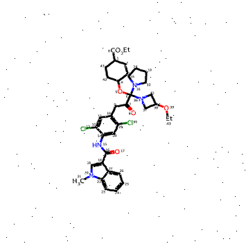 CCOC(=O)C1CCC(OC(C(=O)Cc2cc(Cl)c(NC(=O)c3cn(C)c4ccccc34)cc2Cl)(N2CCCC2)N2CC(OCC)C2)CC1